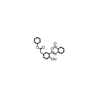 O=C(Cc1ccc(O)c(N=Nc2ccccc2[N+](=O)[O-])c1)Oc1ccccc1